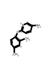 Cc1ccc(Oc2ccc(N)cn2)c(C)c1